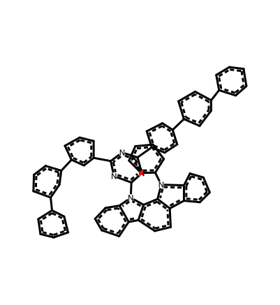 c1ccc(-c2ccc(-c3ccc(-c4nc(-c5cccc(-c6cccc(-c7ccccc7)c6)c5)nc(-n5c6ccccc6c6ccc7c8ccccc8n(-c8ccccc8)c7c65)n4)cc3)cc2)cc1